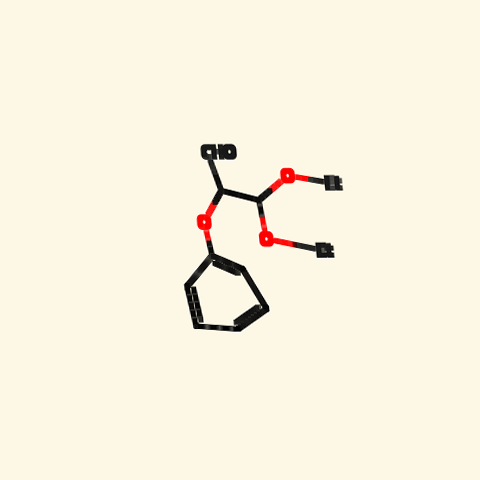 CCOC(OCC)C(C=O)Oc1ccccc1